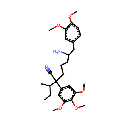 CCC(C)C(C#N)(CCCC(N)Cc1ccc(OC)c(OC)c1)c1cc(OC)c(OC)c(OC)c1